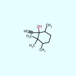 C#CC1(O)C(C)CCC(C)C1(C)C